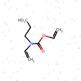 C=COC(=O)N(C=C)CCC(=O)O